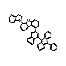 c1ccc(-c2c3ccccc3c(-c3cc(-c4cccc5oc6c(N7CCc8ccccc87)cccc6c45)cc4ccccc34)c3ccccc23)cc1